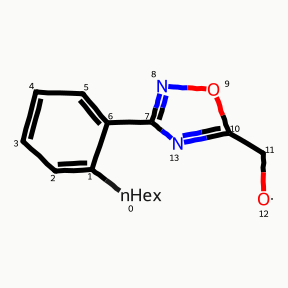 CCCCCCc1ccccc1-c1noc(C[O])n1